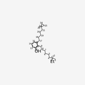 CCC(C)(C)CCCCCCc1c(O)cccc1CCCCCC1(C)CC1